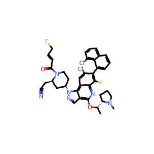 CC(Oc1nc2c(F)c(-c3cccc4cccc(Cl)c34)c(Cl)cc2c2c1cnn2[C@H]1CCN(C(=O)/C=C/CF)[C@H](CC#N)C1)[C@@H]1CCCN1C